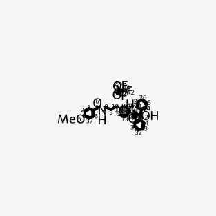 COc1ccc(C(=O)NCCC[N+]23CCC(CC2)[C@@H](OC(=O)C(O)(c2ccccc2)c2ccccc2)C3)cc1.O=C([O-])C(F)(F)F